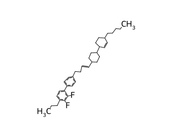 CCCCCC1C=CC(C2CCC(/C=C/CCc3ccc(-c4ccc(CCC)c(F)c4F)cc3)CC2)CC1